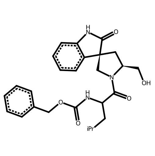 CC(C)CC(NC(=O)OCc1ccccc1)C(=O)N1C[C@]2(C[C@H]1CO)C(=O)Nc1ccccc12